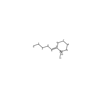 CCCCC=C1CCCCN1C